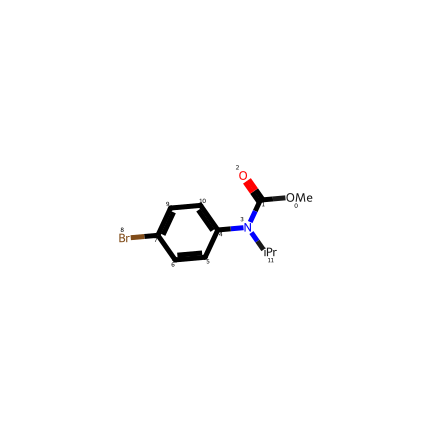 COC(=O)N(c1ccc(Br)cc1)C(C)C